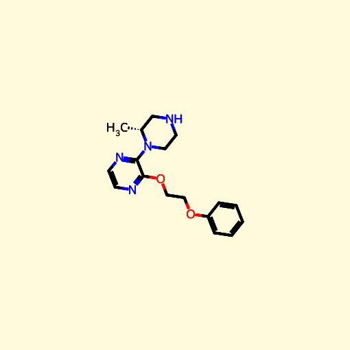 C[C@@H]1CNCCN1c1nccnc1OCCOc1ccccc1